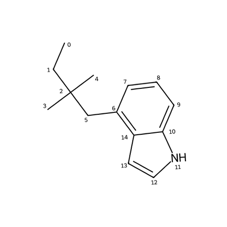 CCC(C)(C)Cc1cccc2[nH]ccc12